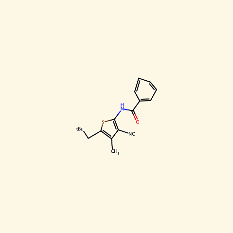 [C-]#[N+]c1c(NC(=O)c2ccccc2)sc(CC(C)(C)C)c1C